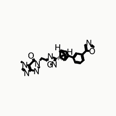 Cn1cnc2ncn(Cc3nc([C@]45C6=C(c7cccc(-c8cnco8)c7)C[C@@H]4[C@H]65)no3)c(=O)c21